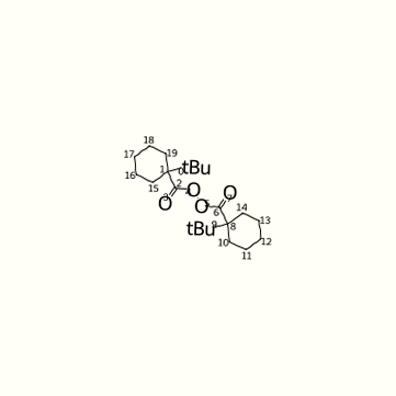 CC(C)(C)C1(C(=O)OOC(=O)C2(C(C)(C)C)CCCCC2)CCCCC1